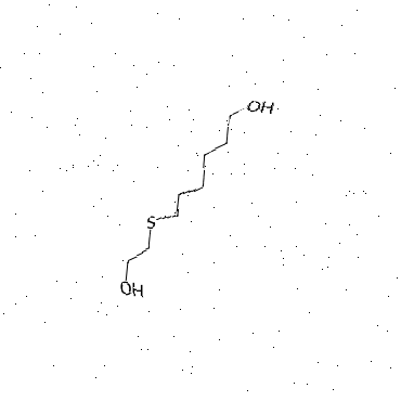 OCCCCCCSCCO